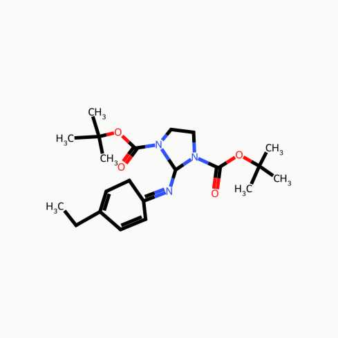 CCC1=CC/C(=N\C2N(C(=O)OC(C)(C)C)CCN2C(=O)OC(C)(C)C)C=C1